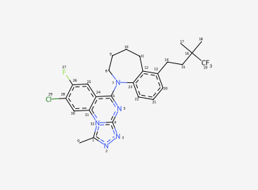 Cc1nnc2nc(N3CCCCc4c(CCC(C)(C)C(F)(F)F)cccc43)c3cc(F)c(Cl)cc3n12